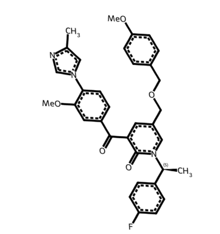 COc1ccc(COCc2cc(C(=O)c3ccc(-n4cnc(C)c4)c(OC)c3)c(=O)n([C@@H](C)c3ccc(F)cc3)c2)cc1